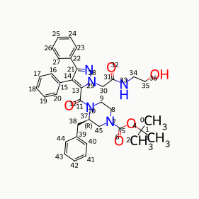 CC(C)(C)OC(=O)N1CCN(C(=O)c2c(-c3ccccc3)c(-c3ccccc3)nn2CC(=O)NCCO)[C@H](Cc2ccccc2)C1